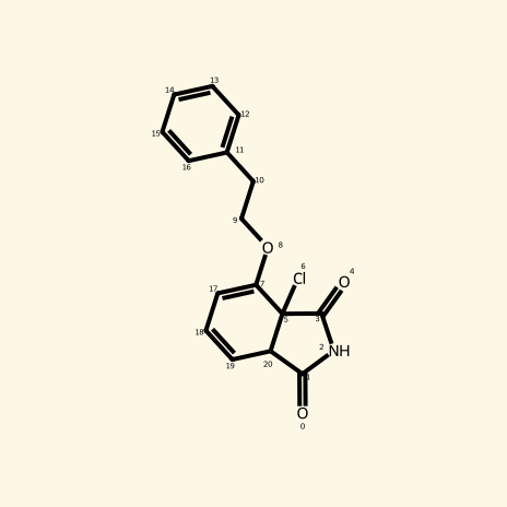 O=C1NC(=O)C2(Cl)C(OCCc3ccccc3)=CC=CC12